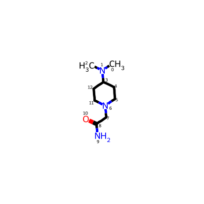 CN(C)C1CCN(CC(N)=O)CC1